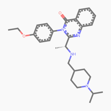 CCOc1ccc(-n2c([C@@H](C)NCC3CCN(C(C)C)CC3)nc3ccccc3c2=O)cc1